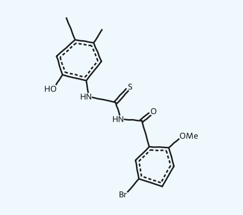 COc1ccc(Br)cc1C(=O)NC(=S)Nc1cc(C)c(C)cc1O